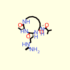 C=C(N)NCCC[C@@H]1NC(=O)[C@](C)(NC(=O)C(C)C)CCCCCCNC(=O)[C@H](CC)NC1=O